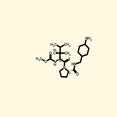 COC(=O)N[C@H](C(=S)N1CCC[C@H]1C(=O)NCC1CCC(N)CC1)C(C)(C)C(C)C